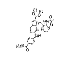 CCOC(OCC)c1cc2cnc(Nc3ccc(C(=O)NC)cc3)nc2n1Cc1nccnc1NS(C)(=O)=O